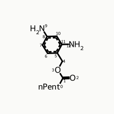 CCCCCC(=O)OCc1ccc(N)cc1N